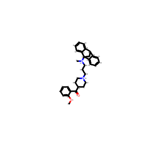 COc1ccccc1C(=O)C1CCN(CCCN(C)C23CC(c4ccccc42)c2ccccc23)CC1